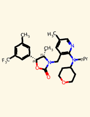 CCCN(c1ncc(C)cc1CN1C(=O)O[C@H](c2cc(C)cc(C(F)(F)F)c2)[C@@H]1C)C1CCOCC1